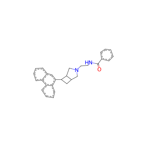 O=C(NCCN1CC2CC(c3cc4ccccc4c4ccccc34)C2C1)c1ccccc1